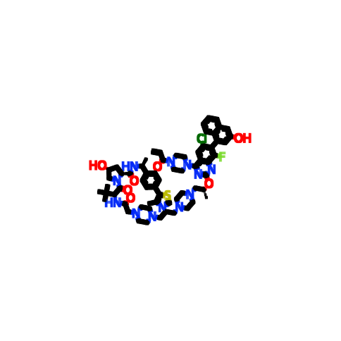 C=CC(=O)N1CCN(c2nc(O[C@H](C)CN3CCN(CCCN4CCN(CC(=O)N[C@H](C(=O)N5C[C@H](O)C[C@H]5C(=O)N[C@@H](C)c5ccc(-c6scnc6C)cc5)C(C)(C)C)CC4)CC3)nc3c(F)c(-c4cc(O)cc5ccccc45)c(Cl)cc23)CC1